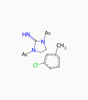 CC(=O)N1CCN(C(C)=O)C1=N.Cc1cccc(Cl)c1